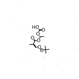 CC(=COOC(C)(C)C)C(=O)OC(C)OC(=O)O